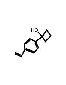 C=Cc1ccc(C2(O)CCC2)cc1